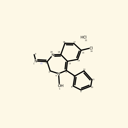 C/N=C1/CN(O)C(c2ccccc2)=c2cc(Cl)ccc2=N1.Cl